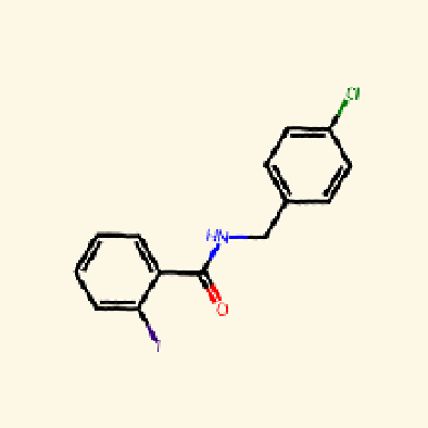 O=C(NCc1ccc(Cl)cc1)c1ccccc1I